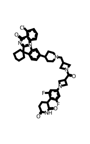 O=C1CCC(c2c(F)cc(N3CC(C(=O)N4CC(CN5CCC(c6ccc7c(c6)-n6c(nc(=O)c8c(Cl)cccc86)C76CCCCC6)CC5)C4)C3)cc2F)C(=O)N1